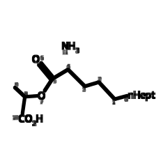 CCCCCCCCCCCC(=O)OC(C)C(=O)O.N